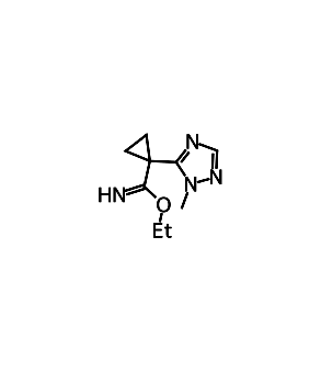 CCOC(=N)C1(c2ncnn2C)CC1